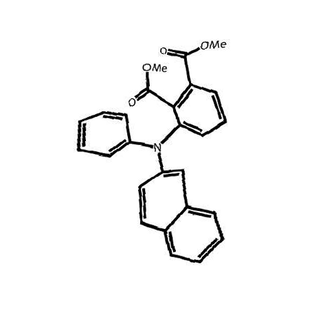 COC(=O)c1cccc(N(c2ccccc2)c2ccc3ccccc3c2)c1C(=O)OC